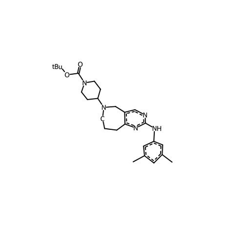 Cc1cc(C)cc(Nc2ncc3c(n2)CCCN(C2CCN(C(=O)OC(C)(C)C)CC2)C3)c1